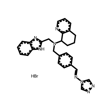 Br.C(=N\n1cnnc1)/c1ccc(CN(Cc2nc3ccccc3[nH]2)C2CCCc3cccnc32)cc1